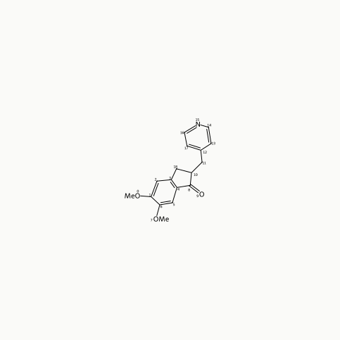 COc1cc2c(cc1OC)C(=O)C(Cc1ccncc1)C2